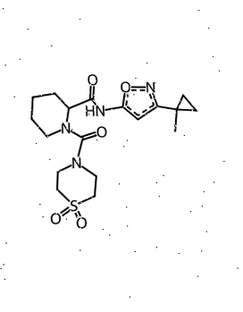 CC1(c2cc(NC(=O)C3CCCCN3C(=O)N3CCS(=O)(=O)CC3)on2)CC1